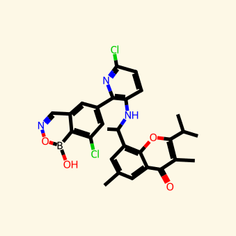 Cc1cc(C(C)Nc2ccc(Cl)nc2-c2cc(Cl)c3c(c2)C=NOB3O)c2oc(C(C)C)c(C)c(=O)c2c1